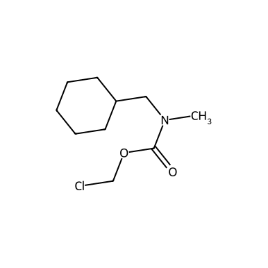 CN(CC1CCCCC1)C(=O)OCCl